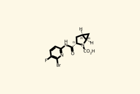 O=C(Nc1ccc(F)c(Br)n1)[C@@H]1C[C@H]2C[C@H]2N1C(=O)O